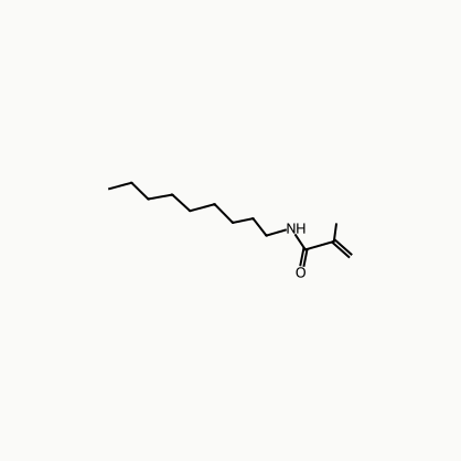 C=C(C)C(=O)NCCCCCCCCC